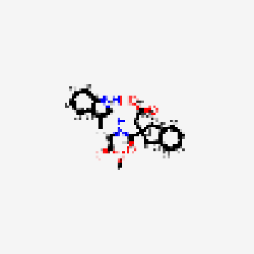 COC(=O)[C@H](Cc1c[nH]c2ccccc12)NC(=O)C1(CC(=O)O)Cc2ccccc2C1